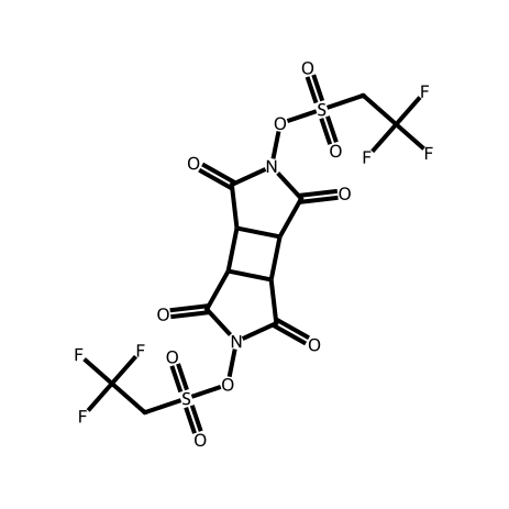 O=C1C2C(C(=O)N1OS(=O)(=O)CC(F)(F)F)C1C(=O)N(OS(=O)(=O)CC(F)(F)F)C(=O)C21